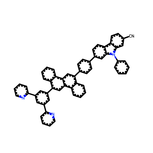 N#Cc1ccc2c3ccc(-c4ccc(-c5cc6c7ccccc7c(-c7cc(-c8ccccn8)cc(-c8ccccn8)c7)cc6c6ccccc56)cc4)cc3n(-c3ccccc3)c2c1